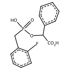 O=C(O)C(OP(=O)(O)Cc1ccccc1F)c1ccccc1